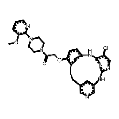 COc1cccnc1N1CCN(C(=O)COc2ccc3cc2CCc2cncc(c2)Nc2ncc(Cl)c(n2)N3)CC1